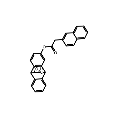 O=C(Cc1ccc2ccccc2c1)Oc1ccc2c(c1)C1CC(C(=O)O)C2c2ccccc21